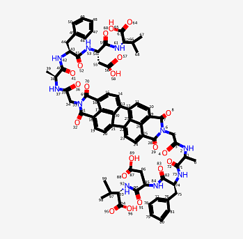 CC(NC(=O)CN1C(=O)c2ccc3c4ccc5c6c(ccc(c7ccc(c2c37)C1=O)c64)C(=O)N(CC(=O)N[C@@H](C)C(=O)N[C@@H](Cc1ccccc1)C(=O)N[C@@H](CC(=O)O)C(=O)N[C@H](C(=O)O)C(C)C)C5=O)C(=O)N[C@@H](Cc1ccccc1)C(=O)NC(CC(=O)O)C(=O)N[C@H](C(=O)O)C(C)C